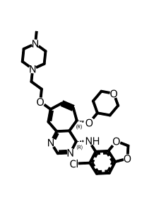 CN1CCN(CCOC2=CC3=NC=N[C@@H](Nc4c(Cl)ccc5c4OCO5)C3[C@@H](OC3CCOCC3)C#C2)CC1